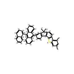 Cc1cc(C)c2c(c1)sc1c3c(ccc12)C(C)(C)c1cc(-c2c4ccccc4c(-c4cccc5ccccc45)c4ccccc24)ccc1-3